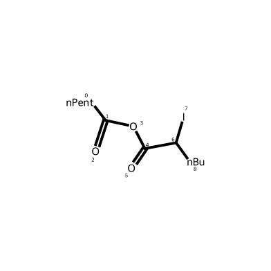 CCCCCC(=O)OC(=O)C(I)CCCC